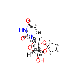 C[C@@]12OC3(CCCC3)O[C@@]13C(O)[C@H]3O[C@H]2n1ccc(=O)[nH]c1=O